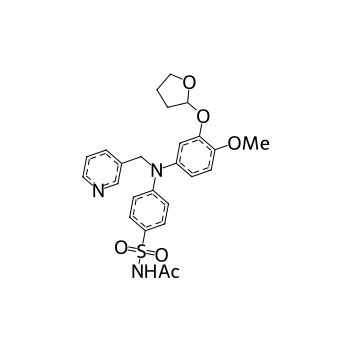 COc1ccc(N(Cc2cccnc2)c2ccc(S(=O)(=O)NC(C)=O)cc2)cc1OC1CCCO1